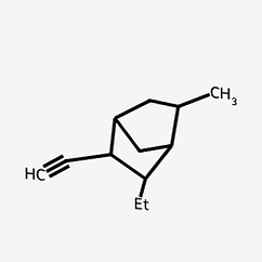 C#CC1C2CC(C)C(C2)C1CC